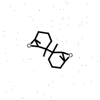 CC12CCCC(C)(C3(C)CCCC4(C)OC43)C1O2